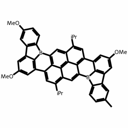 COc1ccc2c(c1)-c1cc(OC)cc3c1B2c1cc2c(C(C)C)cc4c5c(cc6c(C(C)C)cc-3c1c6c25)B1c2ccc(C)cc2-c2cc(OC)cc-4c21